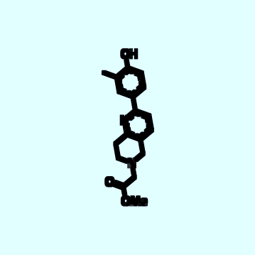 COC(=O)CN1CCc2nc(-c3ccc(O)c(C)c3)ccc2C1